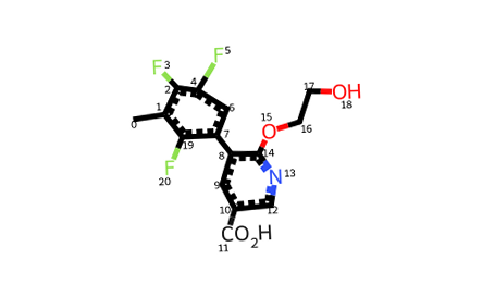 Cc1c(F)c(F)cc(-c2cc(C(=O)O)cnc2OCCO)c1F